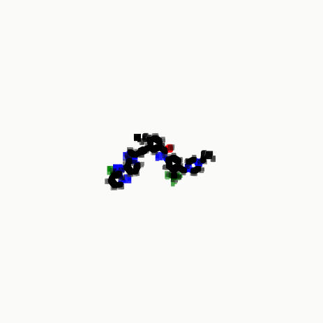 CCN1CCN(Cc2ccc(NC(=O)c3ccc(C)c(C#Cc4cnc5c(NC6=C(F)C=CCN6)cccn45)c3)cc2C(F)(F)F)CC1